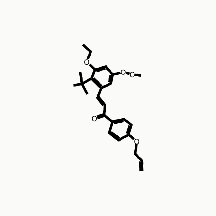 C=CCOc1ccc(C(=O)C=Cc2cc(OCC)cc(OCC)c2C(C)(C)C)cc1